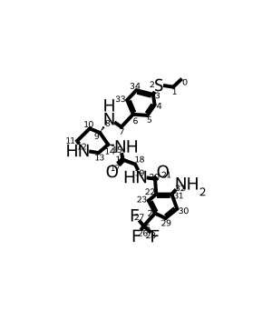 CCSc1ccc(CN[C@H]2CCNC[C@H]2NC(=O)CNC(=O)c2cc(C(F)(F)F)ccc2N)cc1